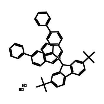 CC(C)(C)c1ccc2c(c1)[CH]([Zr](=[CH]c1ccc(-c3ccccc3)cc1)(=[CH]c1ccc(-c3ccccc3)cc1)[C]1=CC=CC1)c1cc(C(C)(C)C)ccc1-2.Cl.Cl